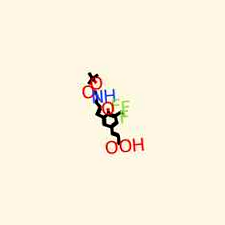 CC(C)(C)OC(=O)NCc1cc2cc(/C=C/C(=O)O)cc(C(F)(F)F)c2o1